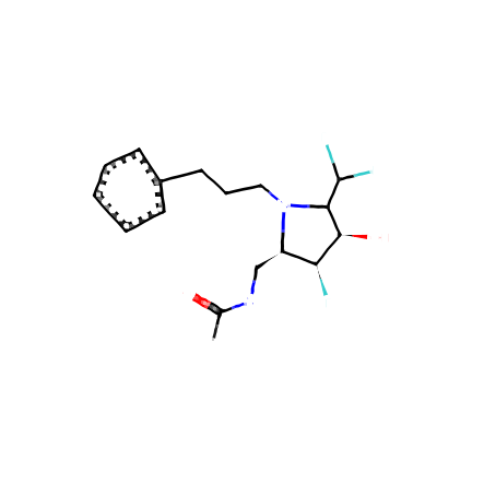 CCC(=O)NC[C@@H]1[C@H](F)[C@H](O)C(C(F)F)N1CCCc1ccccc1